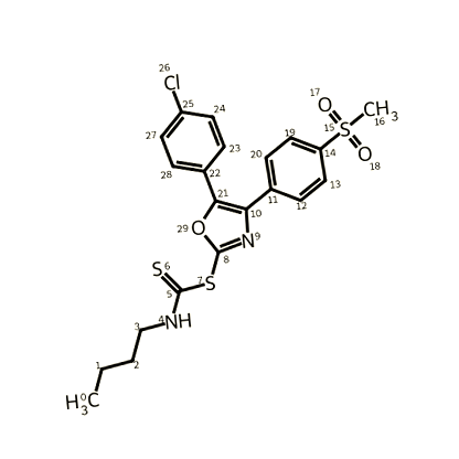 CCCCNC(=S)Sc1nc(-c2ccc(S(C)(=O)=O)cc2)c(-c2ccc(Cl)cc2)o1